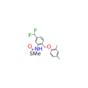 CSC(=O)Nc1cc(C(F)F)ccc1COc1ccc(C)cc1C